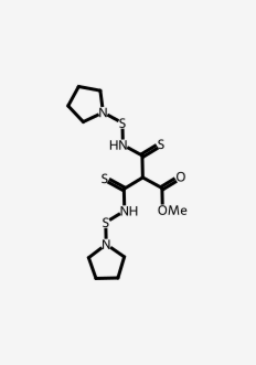 COC(=O)C(C(=S)NSN1CCCC1)C(=S)NSN1CCCC1